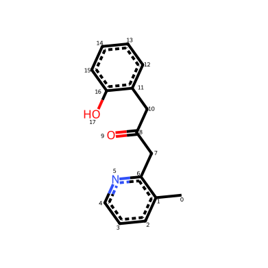 Cc1cccnc1CC(=O)Cc1ccccc1O